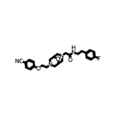 N#Cc1ccc(OCCN2CC3CN(CC(=O)NCCc4ccc(F)cc4)CC(C2)O3)cc1